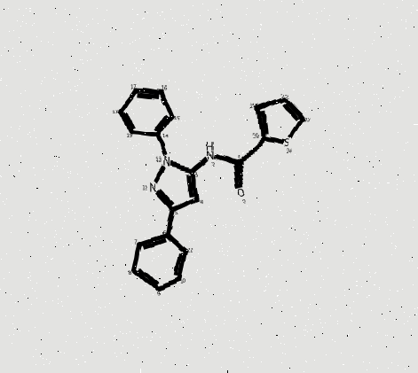 O=C(Nc1cc(-c2ccccc2)nn1-c1ccccc1)c1cccs1